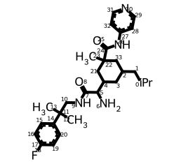 CC(C)CC1CC(C(N)C(=O)NCC(C)(C)c2ccc(F)cc2)CC(C)(C(=O)Nc2ccncc2)C1